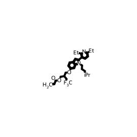 C=CC(=O)OCC(COc1ccc2cc(-c3ccc(CC)nc3CC)n(CCCC(C)C)c2c1)CC(F)(F)F